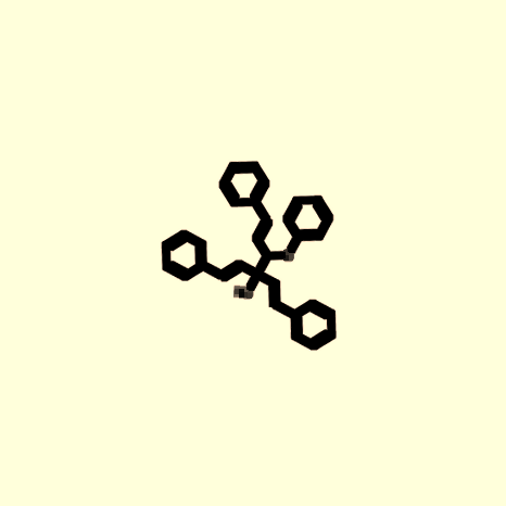 OC(C=Cc1ccccc1)(C=Cc1ccccc1)C(C=Cc1ccccc1)Oc1ccccc1